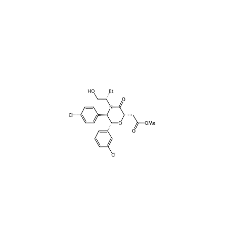 CC[C@@H](CO)N1C(=O)[C@H](CC(=O)OC)O[C@H](c2cccc(Cl)c2)[C@H]1c1ccc(Cl)cc1